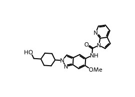 COc1cc2nn(C3CCC(CO)CC3)cc2cc1NC(=O)n1ccc2cccnc21